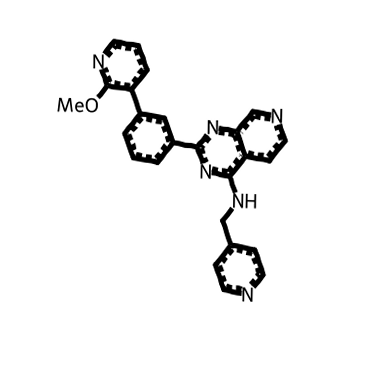 COc1ncccc1-c1cccc(-c2nc(NCc3ccncc3)c3ccncc3n2)c1